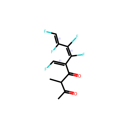 CC(=O)C(C)C(=O)C(=C\F)/C(F)=C(F)\C(F)=C\F